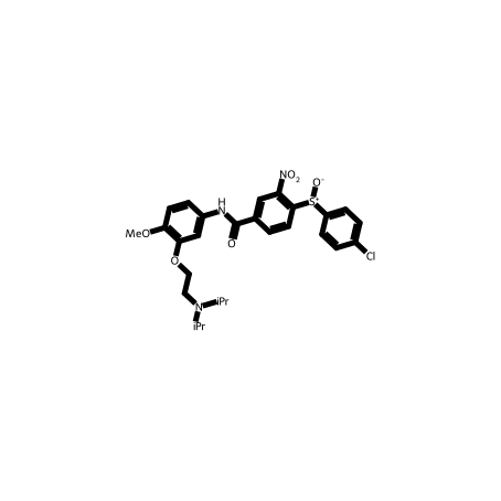 COc1ccc(NC(=O)c2ccc([S+]([O-])c3ccc(Cl)cc3)c([N+](=O)[O-])c2)cc1OCCN(C(C)C)C(C)C